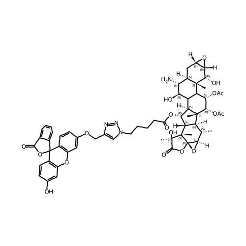 CC(=O)O[C@H]1C2C([C@@H](O)[C@H](N)[C@H]3C[C@@H]4O[C@@H]4[C@H](O)[C@]23C)[C@@H]2[C@@H](OC(=O)CCCCn3cc(COc4ccc5c(c4)Oc4cc(O)ccc4C54OC(=O)c5ccccc54)nn3)[C@@H]3[C@H]([C@H](C)[C@H]4O[C@]45OC(=O)[C@@](C)(O)[C@]35C)[C@@]2(C)[C@H]1OC(C)=O